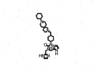 O=C(NC1CCC(CN2CCC3(CCN(C4CCCCC4)CC3)C2)CC1)N(Cc1ncc[nH]1)Cc1ncc[nH]1